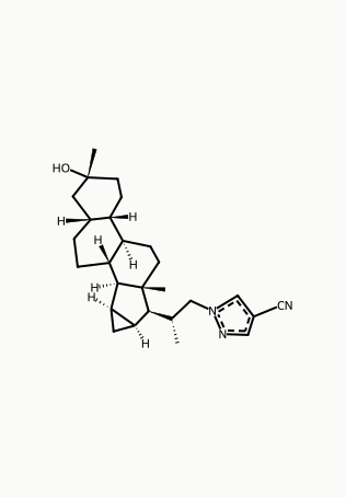 C[C@@H](Cn1cc(C#N)cn1)[C@H]1[C@H]2C[C@H]2[C@H]2[C@@H]3CC[C@@H]4C[C@](C)(O)CC[C@@H]4[C@H]3CC[C@@]21C